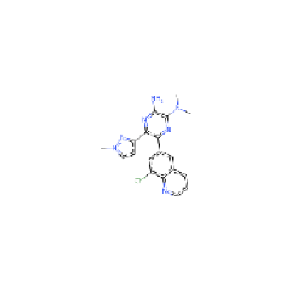 CN(C)c1nc(-c2cc(Cl)c3ncccc3c2)c(-c2ccn(C)n2)nc1N